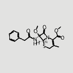 COC(=O)C1=C(C)CS[C@@H]2N1C(=O)[C@]2(NC(=O)Cc1ccccc1)OC